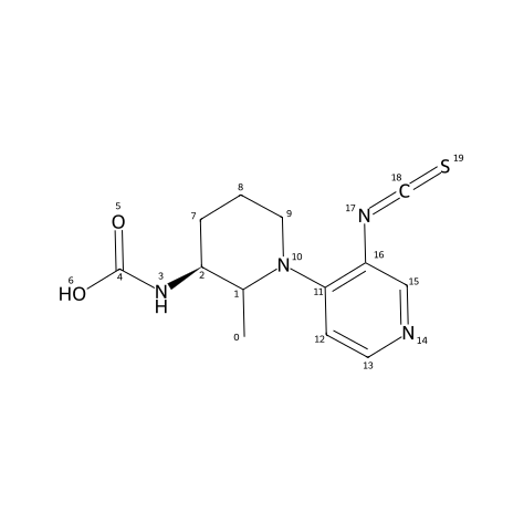 CC1[C@@H](NC(=O)O)CCCN1c1ccncc1N=C=S